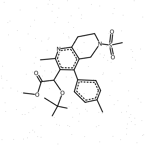 COC(=O)C(OC(C)(C)C)c1c(C)nc2c(c1-c1ccc(C)cc1)CN(S(C)(=O)=O)CC2